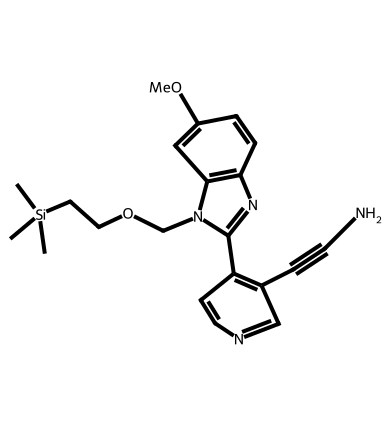 COc1ccc2nc(-c3ccncc3C#CN)n(COCC[Si](C)(C)C)c2c1